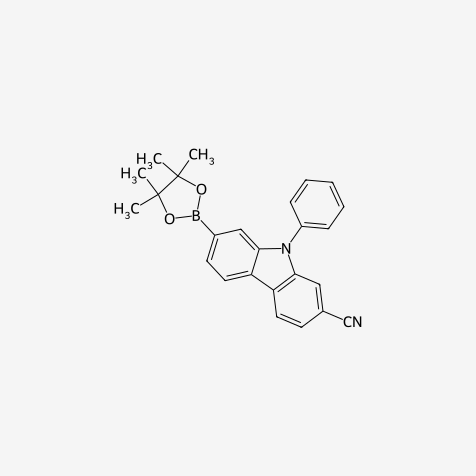 CC1(C)OB(c2ccc3c4ccc(C#N)cc4n(-c4ccccc4)c3c2)OC1(C)C